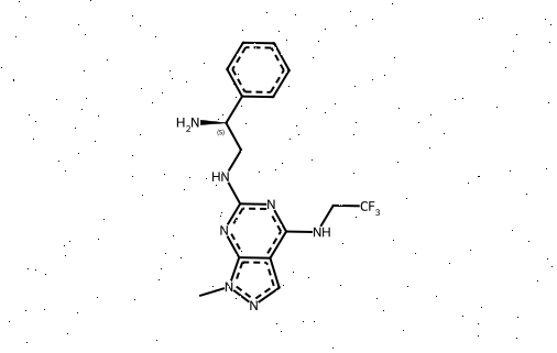 Cn1ncc2c(NCC(F)(F)F)nc(NC[C@@H](N)c3ccccc3)nc21